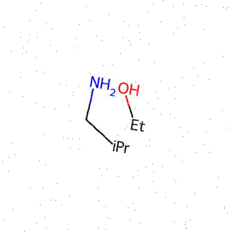 CC(C)CN.CCO